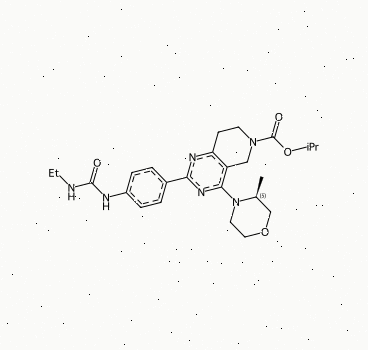 CCNC(=O)Nc1ccc(-c2nc3c(c(N4CCOC[C@@H]4C)n2)CN(C(=O)OC(C)C)CC3)cc1